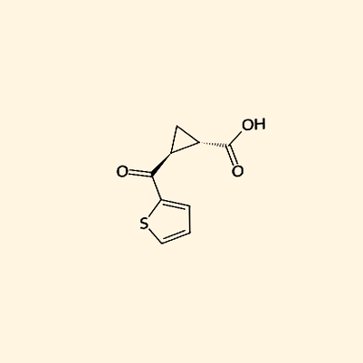 O=C(O)[C@H]1C[C@@H]1C(=O)c1cccs1